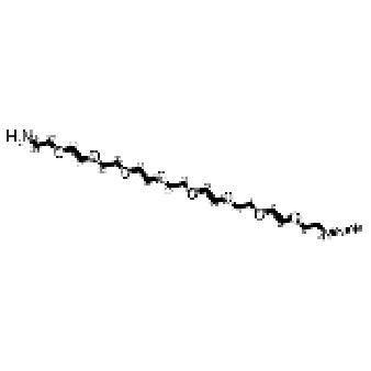 [N-]=[N+]=NCCOCCOCCOCCOCCOCCOCCOCCOCCN